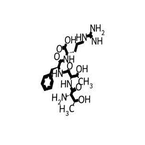 C[C@@H](O)[C@H](N)C(=O)N[C@H](C(=O)N[C@@H](Cc1ccccc1)C(=O)N[C@@H](CCCNC(=N)N)C(=O)O)[C@@H](C)O